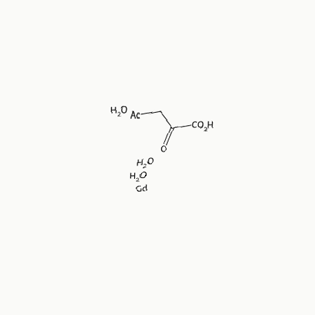 CC(=O)CC(=O)C(=O)O.O.O.O.[Gd]